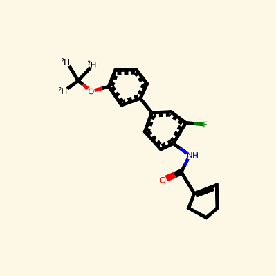 [2H]C([2H])([2H])Oc1cccc(-c2ccc(NC(=O)C3=CCCC3)c(F)c2)c1